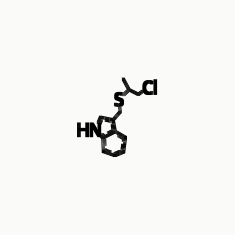 CC(CCl)SCc1c[nH]c2ccccc12